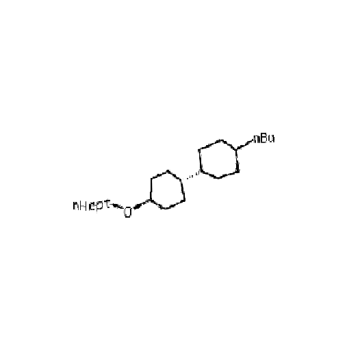 CCCCCCCO[C@H]1CC[C@H](C2CCC(CCCC)CC2)CC1